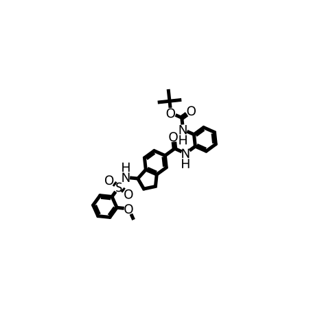 COc1ccccc1S(=O)(=O)NC1CCc2cc(C(=O)Nc3ccccc3NC(=O)OC(C)(C)C)ccc21